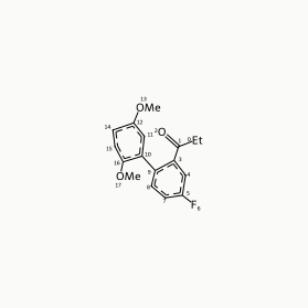 CCC(=O)c1cc(F)ccc1-c1cc(OC)ccc1OC